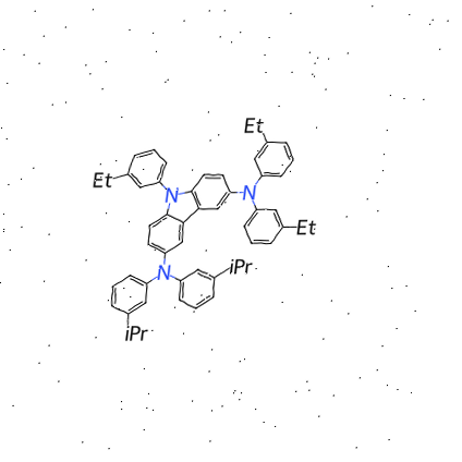 CCc1cccc(N(c2cccc(CC)c2)c2ccc3c(c2)c2cc(N(c4cccc(C(C)C)c4)c4cccc(C(C)C)c4)ccc2n3-c2cccc(CC)c2)c1